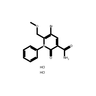 COCc1c(Br)cc(C(N)=O)c(=O)n1-c1ccccc1.Cl.Cl